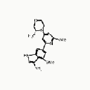 CNc1nc(-c2cc(SC)c3c(N)n[nH]c3c2)cc(N2CCOC[C@H]2C)n1